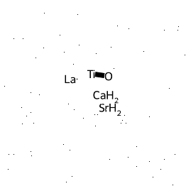 [CaH2].[La].[O]=[Ti].[SrH2]